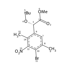 COC(=O)[C@@H](OC(C)(C)C)c1cc(C)c(Br)c([N+](=O)[O-])c1C